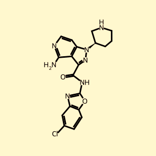 Nc1nccc2c1c(C(=O)Nc1nc3cc(Cl)ccc3o1)nn2[C@@H]1CCCNC1